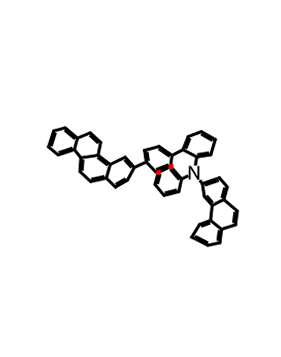 c1ccc(N(c2ccc3ccc4ccccc4c3c2)c2ccccc2-c2ccc(-c3ccc4ccc5c6ccccc6ccc5c4c3)cc2)cc1